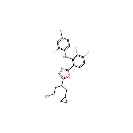 CCc1ccc(Nc2c(-c3nnc(C(CCN)CC4CC4)o3)ccc(F)c2F)c(F)c1